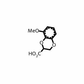 COc1cccc2c1OC(C(=O)O)CO2